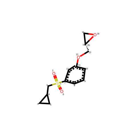 O=S(=O)(CC1CC1)c1cccc(OC[C@@H]2CO2)c1